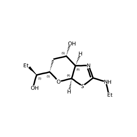 CCNC1=N[C@H]2[C@H](O[C@H]([C@@H](O)CC)C[C@@H]2O)S1